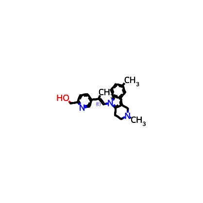 C/C(=C\n1c2c(c3cc(C)ccc31)CN(C)CC2)c1ccc(CO)nc1